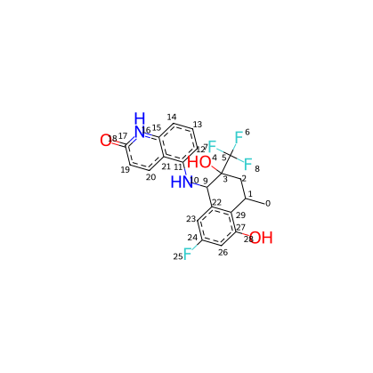 CC1CC(O)(C(F)(F)F)C(Nc2cccc3[nH]c(=O)ccc23)c2cc(F)cc(O)c21